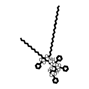 CCCCCCCC/C=C/CCCCCCCCCCCCCC(=O)N[C@@H](CO[C@H]1O[C@@H]2COC(c3ccccc3)O[C@H]2[C@H](OC(=O)c2ccccc2)[C@H]1OC(=O)c1ccccc1)[C@@H](/C=C/CCCCCCCCCCCCC)OC(=O)c1ccccc1